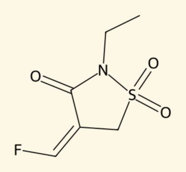 CCN1C(=O)/C(=C\F)CS1(=O)=O